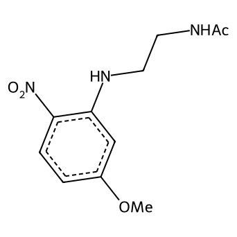 COc1ccc([N+](=O)[O-])c(NCCNC(C)=O)c1